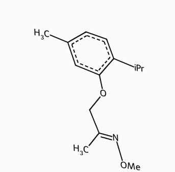 CON=C(C)COc1cc(C)ccc1C(C)C